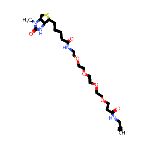 C#CCNC(=O)CCOCCOCCOCCOCCNC(=O)CCCCC1SCC2C1NC(=O)N2C